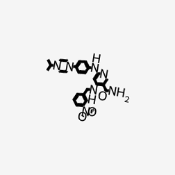 CC(C)N1CCN(c2ccc(Nc3cc(NCc4cccc([N+](=O)[O-])c4)c(C(N)=O)cn3)cc2)CC1